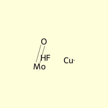 F.[Cu].[O]=[Mo]